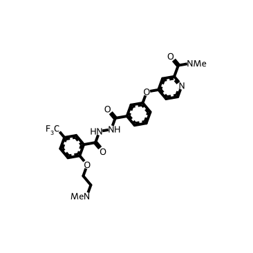 CNCCOc1ccc(C(F)(F)F)cc1C(=O)NNC(=O)c1cccc(Oc2ccnc(C(=O)NC)c2)c1